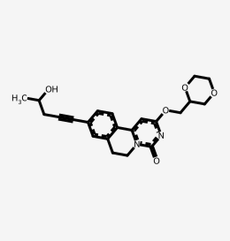 CC(O)CC#Cc1ccc2c(c1)CCn1c-2cc(OCC2COCCO2)nc1=O